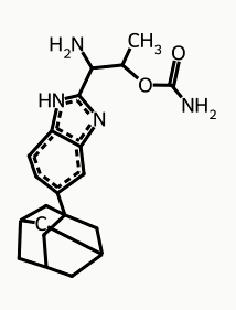 CC(OC(N)=O)C(N)c1nc2cc(C34CC5CC(CC(C5)C3)C4)ccc2[nH]1